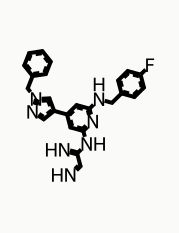 N=CC(=N)Nc1cc(-c2cnn(Cc3ccccc3)c2)cc(NCc2ccc(F)cc2)n1